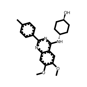 COc1cc2nc(-c3ccc(C)cc3)nc(N[C@H]3CC[C@H](O)CC3)c2cc1OC